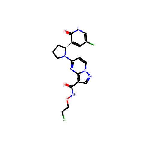 O=C(NOCCCl)c1cnn2ccc(N3CCC[C@@H]3c3cc(F)c[nH]c3=O)nc12